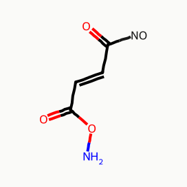 NOC(=O)/C=C/C(=O)N=O